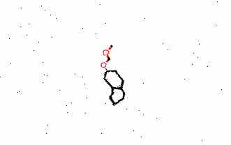 COCO[C@@H]1CCC2CCCC2C1